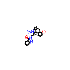 COc1cccc2c1CC[C@H]1CNC(CCn3cnc4ccccc4c3=O)[C@@H]21